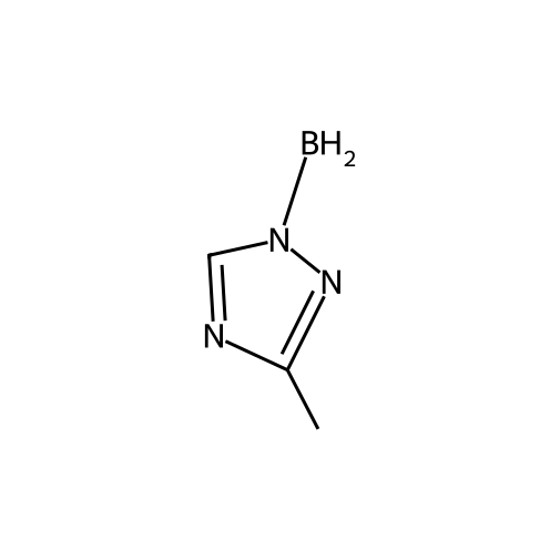 Bn1cnc(C)n1